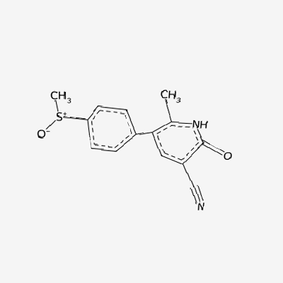 Cc1[nH]c(=O)c(C#N)cc1-c1ccc([S+](C)[O-])cc1